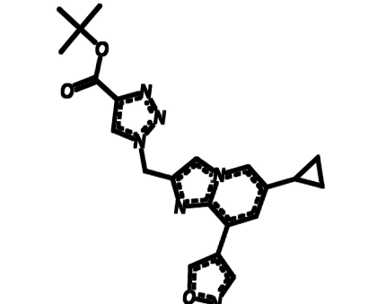 CC(C)(C)OC(=O)c1cn(Cc2cn3cc(C4CC4)cc(-c4cnoc4)c3n2)nn1